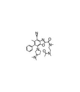 CC(=O)N(C)CCN(C)C(=O)c1nc2c(C#N)c(C)c(-c3ccccc3)c(N3CC[C@H](N(C)C)C3)c2o1